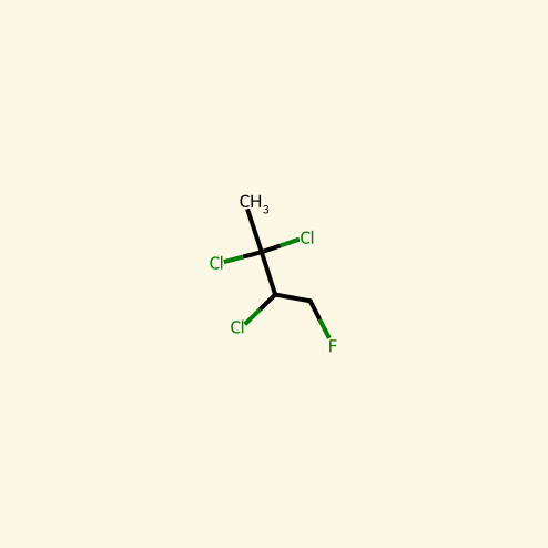 CC(Cl)(Cl)C(Cl)CF